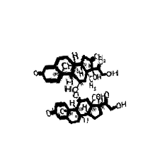 C=C1C[C@H]2[C@@H]3CCC4=CC(=O)C=C[C@]4(C)[C@H]3[C@@H](O)C[C@]2(C)[C@@]1(O)C(=O)CO.C[C@]12C=CC(=O)C=C1CC[C@@H]1[C@@H]2C(=O)C[C@@]2(C)[C@H]1CC[C@]2(O)C(=O)CO